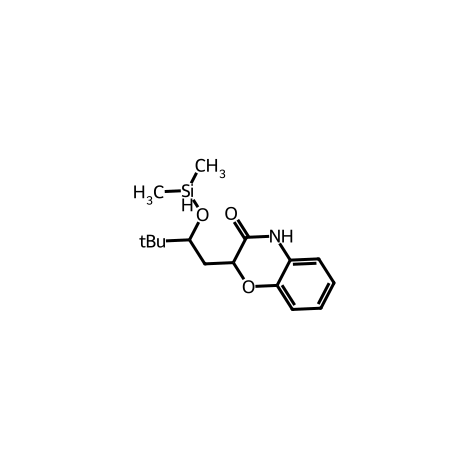 C[SiH](C)OC(CC1Oc2ccccc2NC1=O)C(C)(C)C